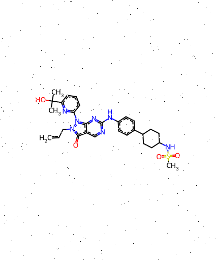 C=CCn1c(=O)c2cnc(Nc3ccc(C4CCC(NS(C)(=O)=O)CC4)cc3)nc2n1-c1cccc(C(C)(C)O)n1